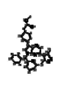 COC(=O)Cc1ccc(-c2cn(C(c3ccccc3)c3ccccn3)c3nc(-c4c(C)noc4C)cnc23)cc1